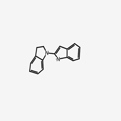 C1=C(N2CCc3ccccc32)[N]c2ccccc21